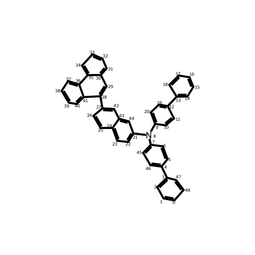 c1ccc(-c2ccc(N(c3ccc(-c4ccccc4)cc3)c3ccc4ccc(-c5cc6ccccc6c6ccccc56)cc4c3)cc2)cc1